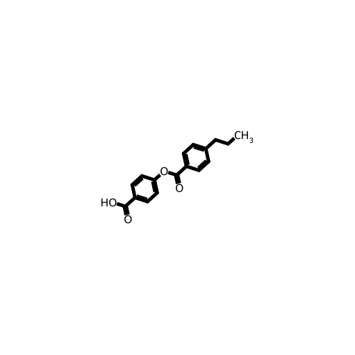 CCCc1ccc(C(=O)Oc2ccc(C(=O)O)cc2)cc1